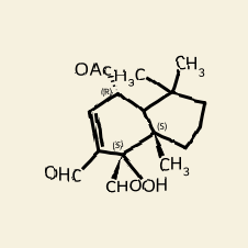 CC(=O)O[C@H]1C=C(C=O)[C@](O)(C=O)[C@@]2(C)CCCC(C)(C)C12